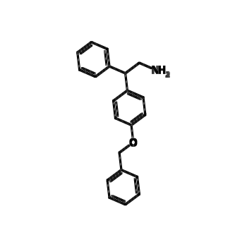 NCC(c1ccccc1)c1ccc(OCc2ccccc2)cc1